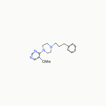 COc1cncnc1N1CCN(CCCc2ccccc2)CC1